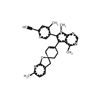 C#Cc1cc(C)c(-c2c(C3=CC[C@@]4(CC3)Cc3ccc(C)nc3O4)c3c(C)ncnc3n2C)cn1